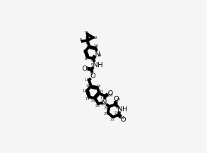 CC1(c2ccc(NC(=O)OCc3ccc4c(c3)C(=O)N(C3CCC(=O)NC3=O)C4)nc2)CC1